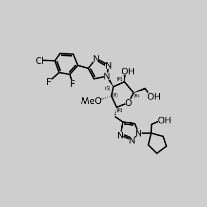 CO[C@@H]1[C@@H](n2cc(-c3ccc(Cl)c(F)c3F)nn2)[C@@H](O)[C@@H](CO)O[C@@H]1Cc1cn(C2(CO)CCCC2)nn1